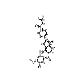 COc1cc(Nc2ccnc3[nH]c(C4=CCN(C(=O)CC(C)C)CC4)cc23)c(OC)cc1Cl